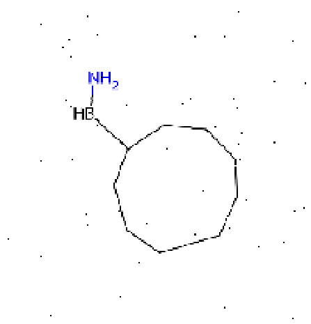 NBC1CCCCCCCC1